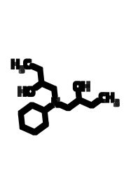 CCC(O)CN(CC(O)CC)C1CCCCC1